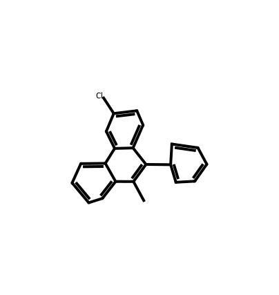 Cc1c(-c2ccccc2)c2ccc(Cl)cc2c2ccccc12